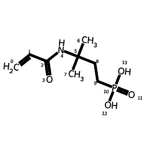 C=CC(=O)NC(C)(C)CCP(=O)(O)O